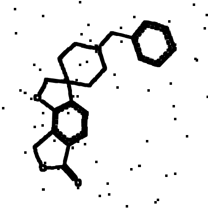 O=C1OCc2c1ccc1c2OCC12CCN(Cc1ccccc1)CC2